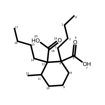 CCCCC1(C(=O)O)CCCC(C)C1(CCCC)C(=O)O